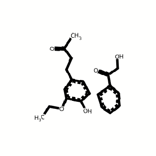 CCOc1cc(CCC(C)=O)ccc1O.O=C(CO)c1ccccc1